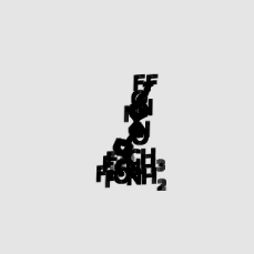 C[C@@]1(c2cc(-c3cc(-c4cnc(OCC(F)F)cn4)no3)ccc2F)C[C@@H](C(F)(F)F)OC(N)N1